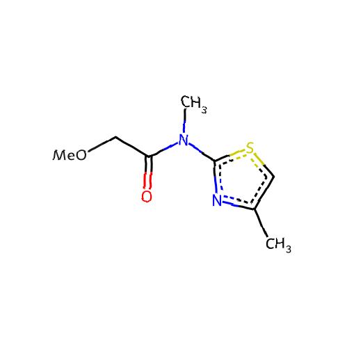 COCC(=O)N(C)c1nc(C)cs1